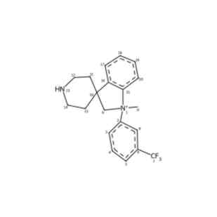 C[N+]1(c2cccc(C(F)(F)F)c2)CC2(CCNCC2)c2ccccc21